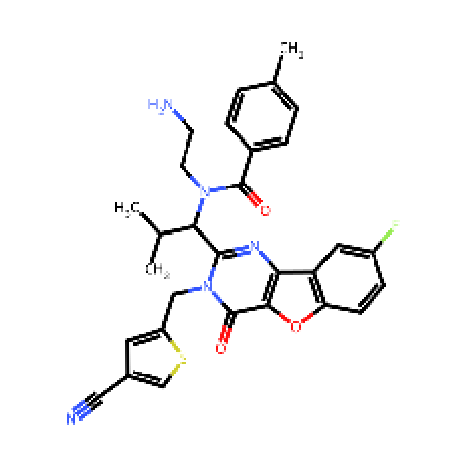 Cc1ccc(C(=O)N(CCN)C(c2nc3c(oc4ccc(F)cc43)c(=O)n2Cc2cc(C#N)cs2)C(C)C)cc1